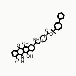 COc1cccc2c1C(=N)c1c(O)c3c(c(O)c1C2=O)CC(C(=N)CN1CCN(C(=O)OC(C)(C)C2=CC=C(c4ccccc4)CC=C2)CC1)CC3